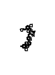 COCCc1ccc(Cl)c(CN(C(=O)[C@H](C#N)Cc2ccc(N3CC[C@@H](Oc4c(Cl)cc(C)cc4Cl)C3)nc2)C2CC2)c1